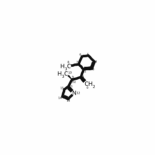 C=C(C1=C=CCCC1C)[C@H](C)C1=NC=CC1